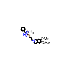 COc1cc2c(cc1OC)CN(CCCSc1nnc(-c3ccccc3)n1C)CC2